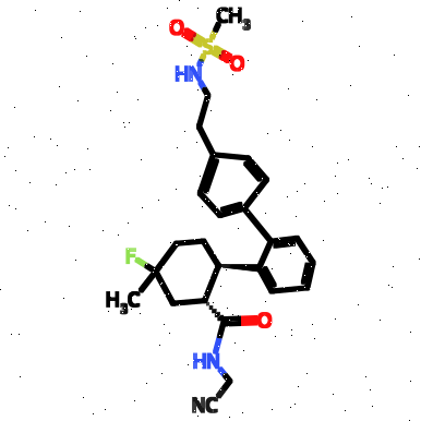 CC1(F)CC[C@@H](c2ccccc2-c2ccc(CCNS(C)(=O)=O)cc2)[C@H](C(=O)NCC#N)C1